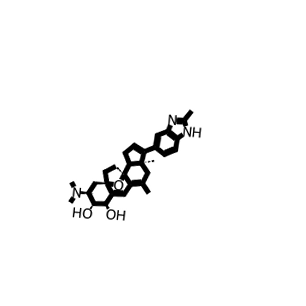 CC1=C2C=C3[C@@H](O)[C@H](O)[C@@H](N(C)C)C[C@]34CC[C@]2(O4)C2CC=C(c3ccc4[nH]c(C)nc4c3)[C@@]2(C)C1